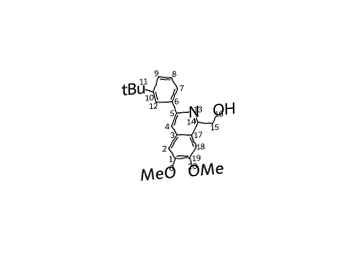 COc1cc2cc(-c3cccc(C(C)(C)C)c3)nc(CO)c2cc1OC